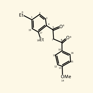 CCc1ccc(C(=O)CC(=O)c2ccc(OC)cc2)c(CC)c1